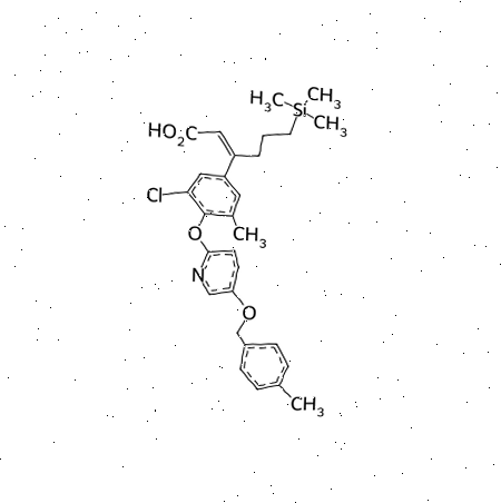 Cc1ccc(COc2ccc(Oc3c(C)cc(/C(=C\C(=O)O)CCC[Si](C)(C)C)cc3Cl)nc2)cc1